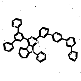 c1ccc(-c2cccc(-c3ccc(-c4cccc(-c5nc(-c6cc(-c7ccccc7)cc(-c7ccccc7)c6)c6c7ccccc7n(-c7ccccc7)c6n5)c4)cc3)c2)cc1